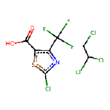 ClCC(Cl)Cl.O=C(O)c1sc(Cl)nc1C(F)(F)F